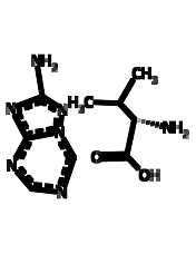 CC(C)[C@H](N)C(=O)O.Nc1nc2ncncn2n1